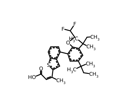 CCC(C)(C)c1cc(-c2cccc3sc(/C(C)=C\C(=O)O)cc23)c(OCC(F)F)c(C(C)(C)CC)c1